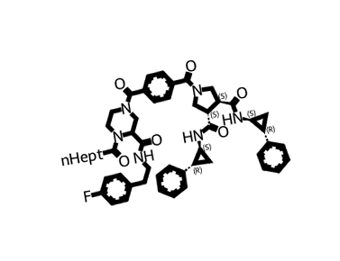 CCCCCCCC(=O)N1CCN(C(=O)c2ccc(C(=O)N3C[C@@H](C(=O)N[C@H]4C[C@@H]4c4ccccc4)[C@H](C(=O)N[C@H]4C[C@@H]4c4ccccc4)C3)cc2)CC1C(=O)NCCc1ccc(F)cc1